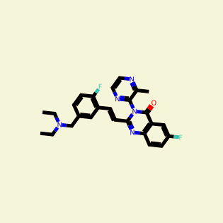 CCN(CC)Cc1ccc(F)c(/C=C/c2nc3ccc(F)cc3c(=O)n2-c2nccnc2C)c1